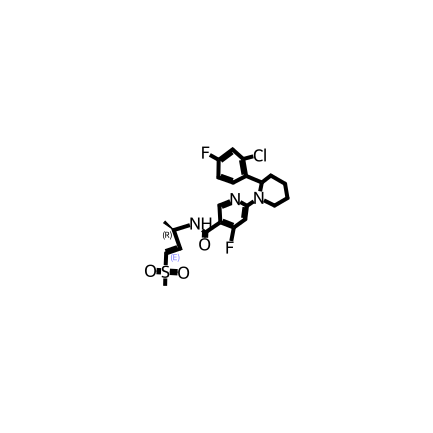 C[C@H](/C=C/S(C)(=O)=O)NC(=O)c1cnc(N2CCCCC2c2ccc(F)cc2Cl)cc1F